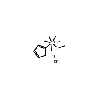 C[O][Ti+2]([CH3])([CH3])([CH3])([CH3])([CH3])[C]1=CC=CC1.[Cl-].[Cl-]